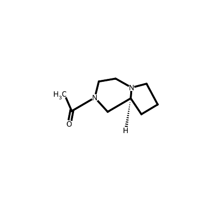 CC(=O)N1CCN2CCC[C@H]2C1